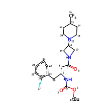 CC(C)(C)OC(=O)N[C@@H](CC(=O)N1CC(N2CCC(C(F)(F)F)CC2)C1)Cc1ccccc1F